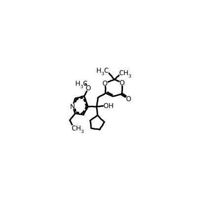 CCc1cc(C(O)(CC2=CC(=O)OC(C)(C)O2)C2CCCC2)c(OC)cn1